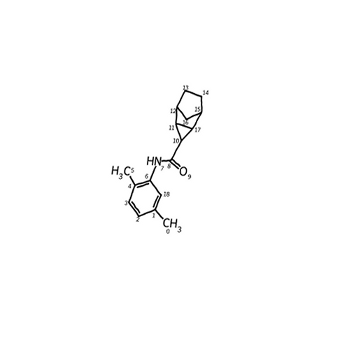 Cc1ccc(C)c(NC(=O)C2C3C4CCC(C4)C23)c1